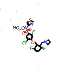 O=C(O)N(c1cscn1)S(=O)(=O)c1cc(Cl)c(OCc2c(F)ccc(F)c2CN2CCC2)cc1F